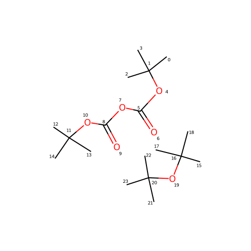 CC(C)(C)OC(=O)OC(=O)OC(C)(C)C.CC(C)(C)OC(C)(C)C